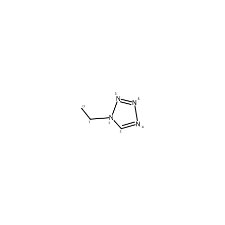 CCn1cnnn1